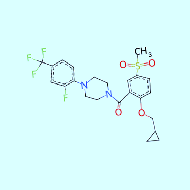 CS(=O)(=O)c1ccc(OCC2CC2)c(C(=O)N2CCN(c3ccc(C(F)(F)F)cc3F)CC2)c1